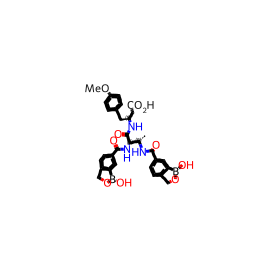 COc1ccc(C[C@@H](CC(=O)O)NC(=O)[C@@H](NC(=O)c2ccc3c(c2)B(O)OC3)[C@H](C)NC(=O)c2ccc3c(c2)B(O)OC3)cc1